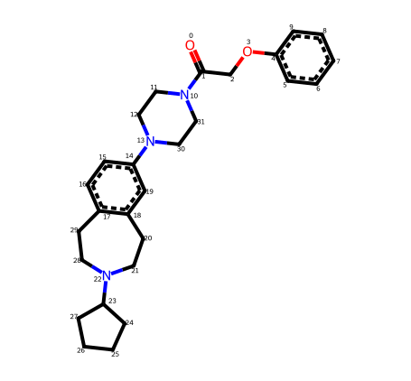 O=C(COc1ccccc1)N1CCN(c2ccc3c(c2)CCN(C2CCCC2)CC3)CC1